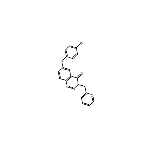 O=c1c2cc(Oc3ccc(Cl)cc3)ccc2nnn1Cc1ccccn1